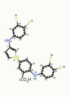 O=C(O)c1cc([SH]2C=CC(Nc3ccc(F)c(F)c3)=C2)ccc1Nc1ccc(F)c(F)c1